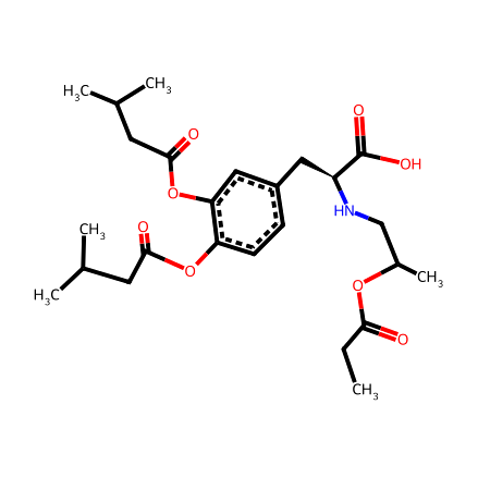 CCC(=O)OC(C)CN[C@@H](Cc1ccc(OC(=O)CC(C)C)c(OC(=O)CC(C)C)c1)C(=O)O